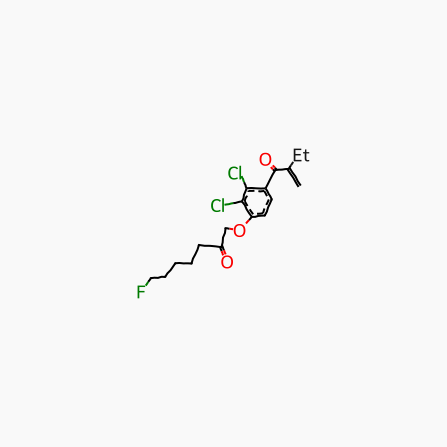 C=C(CC)C(=O)c1ccc(OCC(=O)CCCCCF)c(Cl)c1Cl